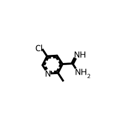 Cc1ncc(Cl)cc1C(=N)N